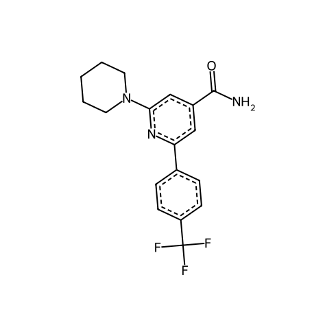 NC(=O)c1cc(-c2ccc(C(F)(F)F)cc2)nc(N2CCCCC2)c1